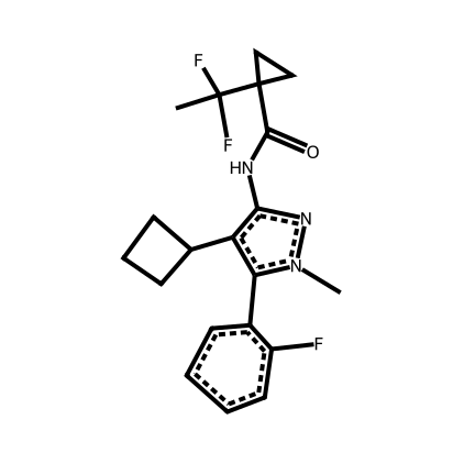 Cn1nc(NC(=O)C2(C(C)(F)F)CC2)c(C2CCC2)c1-c1ccccc1F